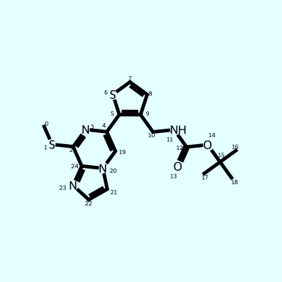 CSc1nc(-c2sccc2CNC(=O)OC(C)(C)C)cn2ccnc12